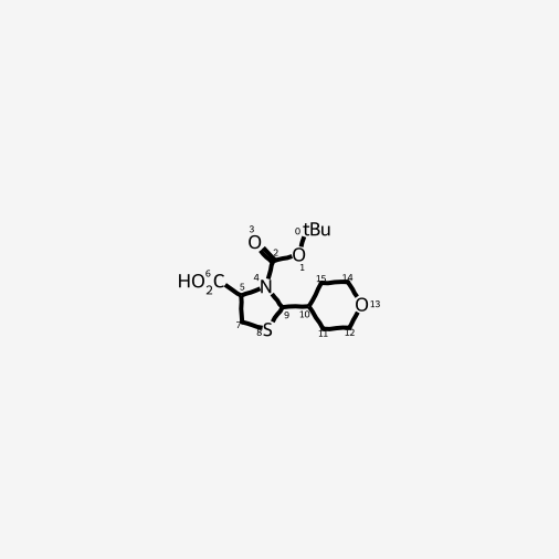 CC(C)(C)OC(=O)N1C(C(=O)O)CSC1C1CCOCC1